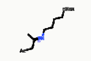 CCCCCCCCCC/N=C(\C)CC(C)=O